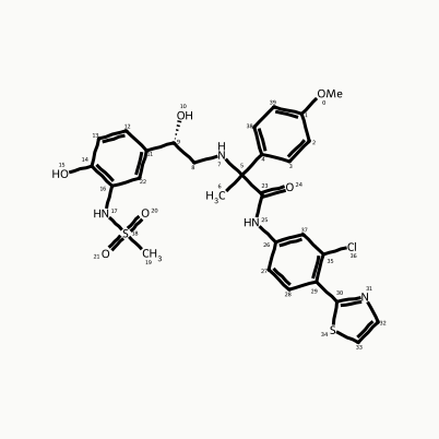 COc1ccc(C(C)(NC[C@@H](O)c2ccc(O)c(NS(C)(=O)=O)c2)C(=O)Nc2ccc(-c3nccs3)c(Cl)c2)cc1